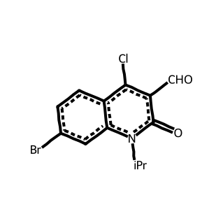 CC(C)n1c(=O)c(C=O)c(Cl)c2ccc(Br)cc21